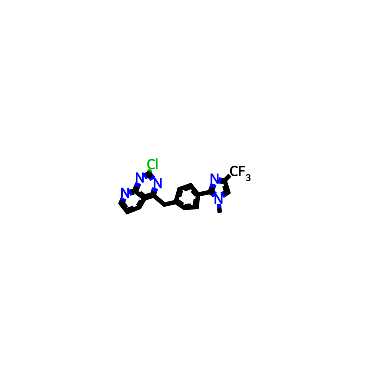 Cn1cc(C(F)(F)F)nc1-c1ccc(Cc2nc(Cl)nc3ncccc23)cc1